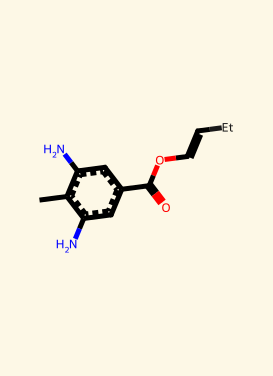 CCC=COC(=O)c1cc(N)c(C)c(N)c1